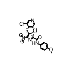 COc1ccc(NC(=O)c2nc([N+](=O)[O-])c(Sc3c(Cl)cncc3Cl)s2)cc1